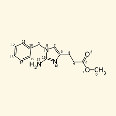 COC(=O)CCc1cn(Cc2ccccc2)c(N)n1